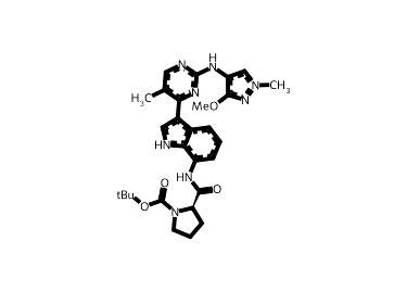 COc1nn(C)cc1Nc1ncc(C)c(-c2c[nH]c3c(NC(=O)[C@H]4CCCN4C(=O)OC(C)(C)C)cccc23)n1